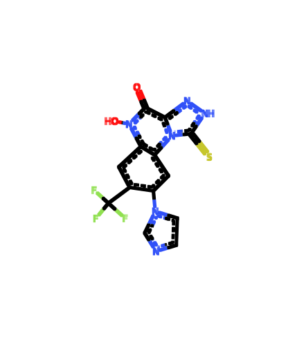 O=c1c2n[nH]c(=S)n2c2cc(-n3ccnc3)c(C(F)(F)F)cc2n1O